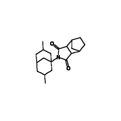 CC1CC2CC(C)CC(N3C(=O)C4C5CCC(C5)C4C3=O)(C1)C2